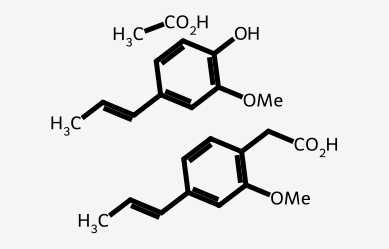 CC(=O)O.CC=Cc1ccc(CC(=O)O)c(OC)c1.CC=Cc1ccc(O)c(OC)c1